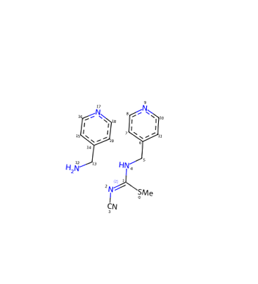 CS/C(=N\C#N)NCc1ccncc1.NCc1ccncc1